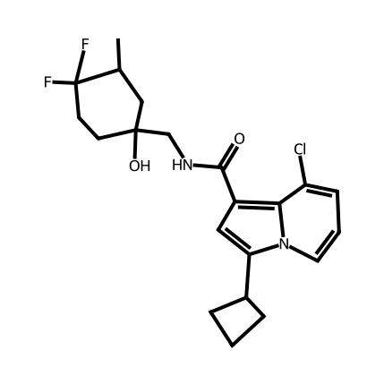 CC1CC(O)(CNC(=O)c2cc(C3CCC3)n3cccc(Cl)c23)CCC1(F)F